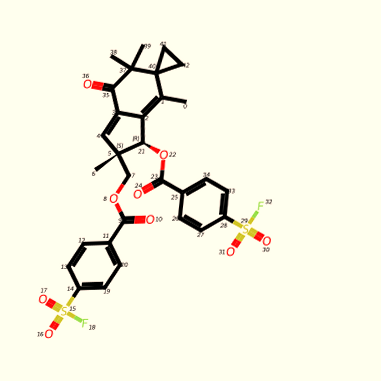 CC1=C2C(=C[C@@](C)(COC(=O)c3ccc(S(=O)(=O)F)cc3)[C@@H]2OC(=O)c2ccc(S(=O)(=O)F)cc2)C(=O)C(C)(C)C12CC2